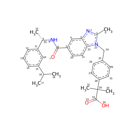 Cc1nc2cc(C(=O)N[C@@H](C)c3cccc(C(C)C)c3)ccc2n1Cc1ccc(C(C)(C)C(=O)O)cc1